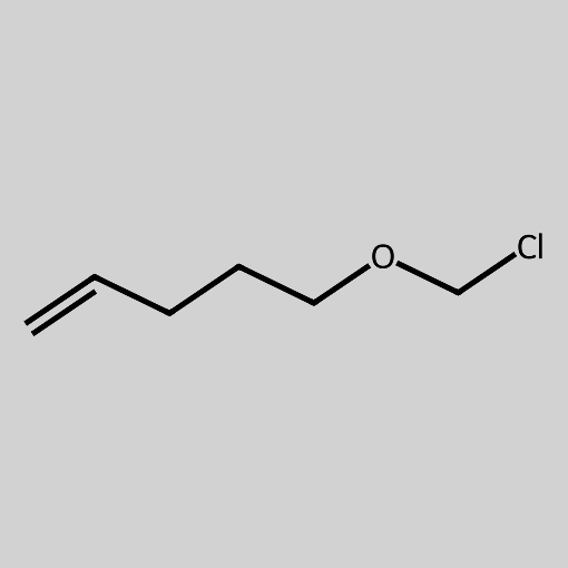 C=CCCCOCCl